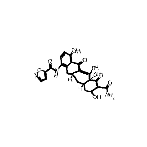 NC(=O)C1C(=O)[C@@]2(O)C(O)=C3C(=O)c4c(O)ccc(NC(=O)c5ccno5)c4C[C@H]3C[C@H]2CC1O